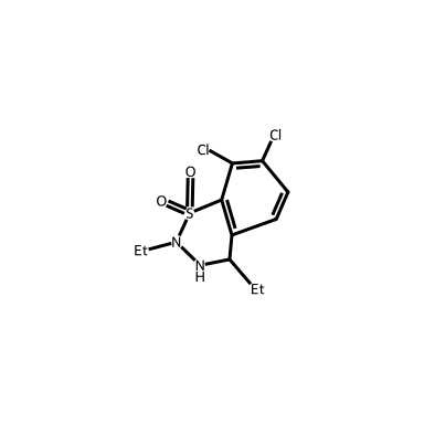 CCC1NN(CC)S(=O)(=O)c2c1ccc(Cl)c2Cl